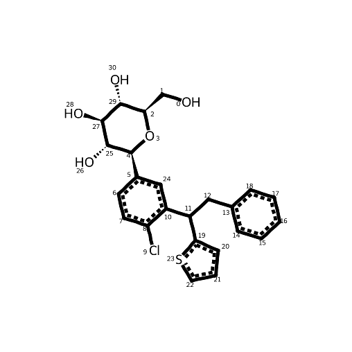 OC[C@H]1O[C@@H](c2ccc(Cl)c(C(Cc3ccccc3)c3cccs3)c2)[C@H](O)[C@@H](O)[C@@H]1O